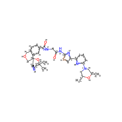 CC1CN(c2cccc(-c3csc(NC(=O)CNC(=O)c4ccc5c(c4)C(C#N)(O[Si](C)(C)C)COC5)n3)n2)CC(C)O1